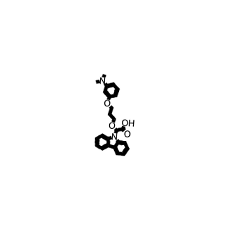 CN(C)c1cccc(OCCCOC(C(=O)O)n2c3ccccc3c3ccccc32)c1